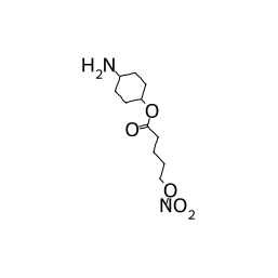 NC1CCC(OC(=O)CCCCO[N+](=O)[O-])CC1